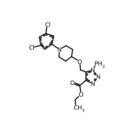 CCOC(=O)c1nnn(P)c1COC1CCN(c2cc(Cl)cc(Cl)c2)CC1